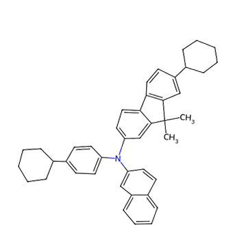 CC1(C)c2cc(C3CCCCC3)ccc2-c2ccc(N(c3ccc(C4CCCCC4)cc3)c3ccc4ccccc4c3)cc21